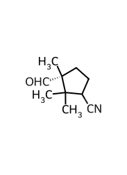 CC1(C)C(C#N)CC[C@@]1(C)C=O